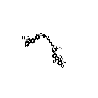 Cn1c2ccncc2c2ccc(-c3ccc(OC4CC(OCCCCCCN5CCN(c6ccc7c(c6)C(=O)N(C6CCC(=O)NC6=O)C7=O)CC5C(F)(F)F)C4)nc3)cc21